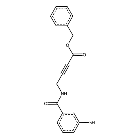 O=C(C#CCNC(=O)c1cccc(S)c1)OCc1ccccc1